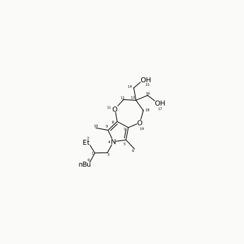 CCCCC(CC)Cn1c(C)c2c(c1C)OCC(CO)(CO)CO2